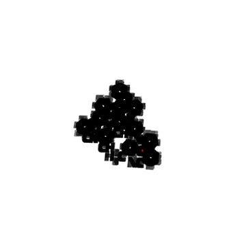 Cc1ccc(N(c2ccc3c(c2)c2cc(N(c4ccc(C)cc4C)c4cccc5c4oc4c(C#N)cccc45)cc4c2n3-c2ccccc2C42c3ccc4ccccc4c3-c3c2ccc2ccccc32)c2cccc3c2oc2c(C#N)cccc23)c(C)c1